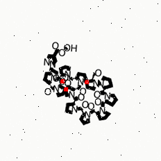 O=C[C@@H]1CCCN1N1CCC[C@H]1C(=O)N1CCC[C@H]1C(=O)N1CCC[C@H]1C(=O)N1CCC[C@H]1C(=O)N1CCC[C@H]1C(=O)N1CCC[C@H]1C(=O)N1CCC[C@H]1C(=O)N1CCC[C@H]1C(=O)N1CCC[C@H]1C(=O)N1CCC[C@H]1C(=O)OCCn1cc(C(=O)OO)cn1